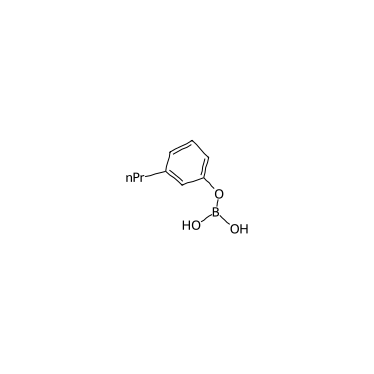 CCCc1cccc(OB(O)O)c1